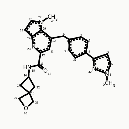 Cn1ccc(-c2ccc(Cc3cc(C(=O)NC4CC5(COC5)C4)nc4ccn(C)c34)cc2)n1